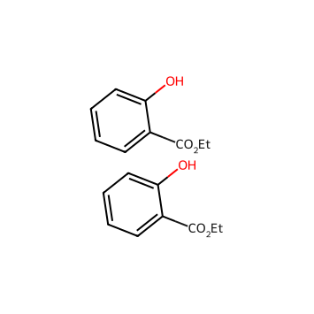 CCOC(=O)c1ccccc1O.CCOC(=O)c1ccccc1O